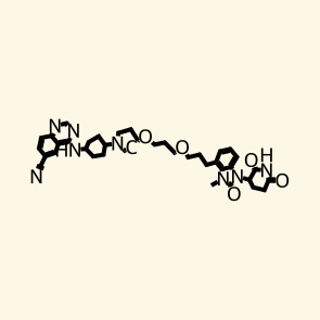 Cn1c(=O)n(C2CCC(=O)NC2=O)c2cccc(CCCOCCCOC3CCN(C4CCC(Nc5ncnc6ccc(C#N)cc56)CC4)CC3)c21